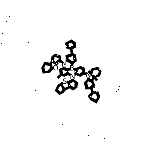 Cc1cc2c3c(c1)N(c1cccc4c1sc1ccccc14)c1cc(N4c5ccc(-c6ccccc6)cc5C5(C)CCCCC45C)ccc1B3c1ccc(-c3ccccc3)cc1N2c1cccc2c1oc1ccccc12